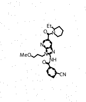 CCC1CCCCN1C(=O)c1cnc2c(c1)nc(NC(=O)c1cccc(C#N)c1)n2CCCOC